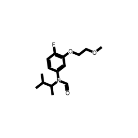 COCCOc1cc(N(C=O)C(C)C(C)C)ccc1F